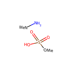 CNN.COS(=O)(=O)O